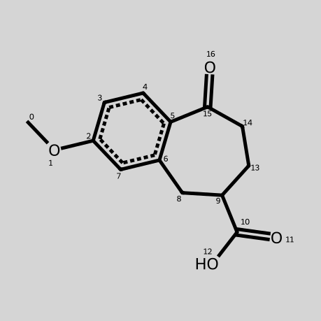 COc1ccc2c(c1)CC(C(=O)O)CCC2=O